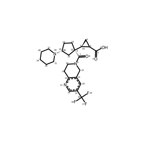 O=C(O)C1C[C@@H]1[C@]1(C(=O)N2CCc3ncc(C(F)(F)F)cc3C2)CC[C@@H](N2CCCCC2)C1